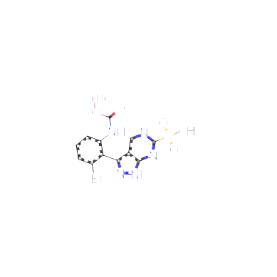 CCc1cccc(NC(=O)OC(C)(C)C)c1-c1n[nH]c2nc(S(C)(=O)=O)ncc12